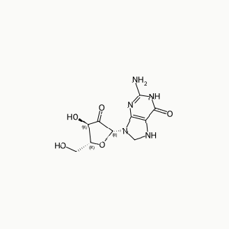 Nc1nc2c(c(=O)[nH]1)NCN2[C@@H]1O[C@H](CO)[C@@H](O)C1=O